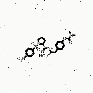 CN(C)C(=O)Oc1ccc(C[C@H](NC(=O)[C@@H]2CCCN2S(=O)(=O)c2ccc([N+](=O)[O-])cc2)C(=O)O)cc1